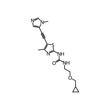 Cc1nc(NC(=O)NCCOCC2CC2)sc1C#Cc1cncn1C